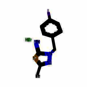 Br.CCc1nn(Cc2ccc(I)cc2)c(=N)s1